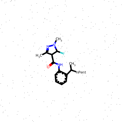 CCCCCC(C)c1ccccc1NC(=O)C1C(C)=NN(C)C1F